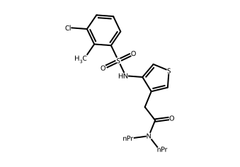 CCCN(CCC)C(=O)Cc1cscc1NS(=O)(=O)c1cccc(Cl)c1C